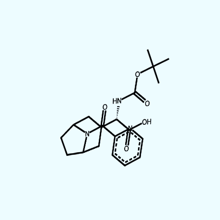 CC(C)(C)OC(=O)N[C@H](C(=O)O)C1CC2CCC(C1)N2C(=O)c1ccccn1